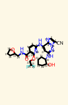 N#Cc1cnc2c(Nc3ccc(C(=O)NCC4CCCO4)c(OCC(F)F)n3)cc(N[C@@H]3CCCC[C@H]3O)nn12